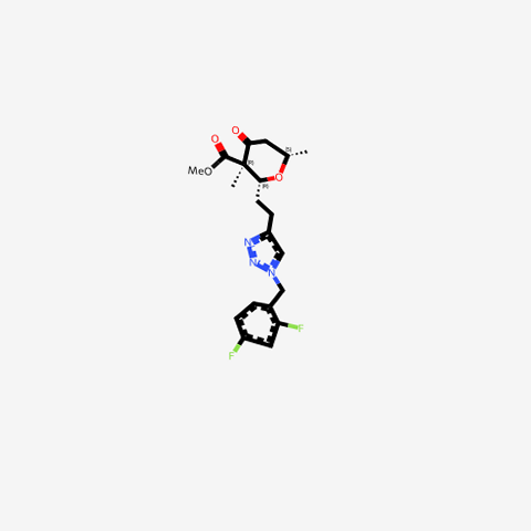 COC(=O)[C@@]1(C)C(=O)C[C@H](C)O[C@@H]1CCc1cn(Cc2ccc(F)cc2F)nn1